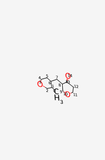 CC1COCCC1CC1COCCC1=O